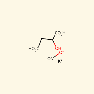 O=C(O)CC(O)C(=O)O.O=N[O-].[K+]